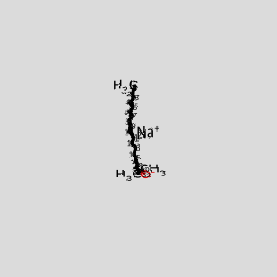 CCCCCCCCCCCCCCCCCCCC(C)(C)[O-].[Na+]